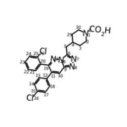 O=C(O)N1CCC(Cc2nnc3cc(-c4ccc(Cl)cc4)c(-c4ccccc4Cl)nn23)CC1